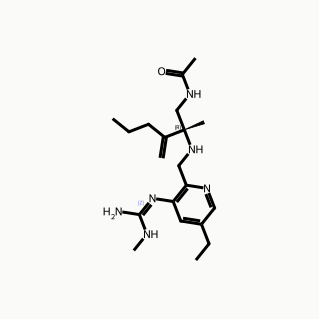 C=C(CCC)[C@](C)(CNC(C)=O)NCc1ncc(CC)cc1/N=C(/N)NC